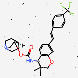 CC1(C)COc2cc(/C=C/c3ccc(C(F)(F)F)cc3)ccc2C1NC(=O)O[C@H]1CN2CCC1CC2